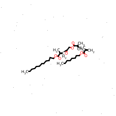 C=C(C)C(=O)OCC1CO1.C=C(C)C(=O)OCCCCCCCC.C=C(C)C(=O)OCCCCCCCCCCCC